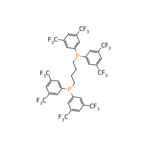 FC(F)(F)c1cc(P(CCCCP(c2cc(C(F)(F)F)cc(C(F)(F)F)c2)c2cc(C(F)(F)F)cc(C(F)(F)F)c2)c2cc(C(F)(F)F)cc(C(F)(F)F)c2)cc(C(F)(F)F)c1